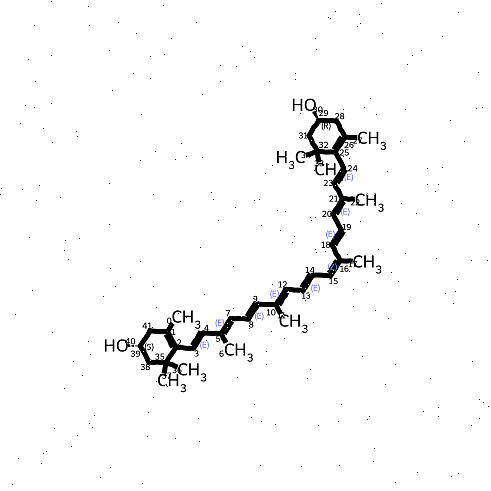 CC1=C(/C=C/C(C)=C/C=C/C(C)=C/C=C/C=C(C)\C=C\C=C(C)\C=C\C2=C(C)C[C@H](O)CC2(C)C)C(C)(C)C[C@H](O)C1